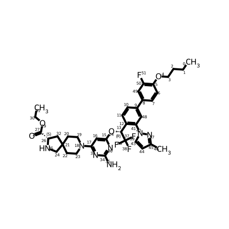 CCCCOc1ccc(-c2ccc([C@@H](Oc3cc(N4CCC5(CC4)CN[C@H](C(=O)OCC)C5)nc(N)n3)C(F)(F)F)c(-n3ccc(C)n3)c2)cc1F